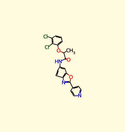 CC(Oc1cccc(Cl)c1Cl)C(=O)Nc1ccc2nc(-c3ccncc3)oc2c1